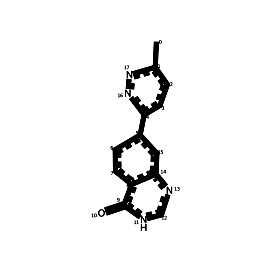 Cc1ccc(-c2ccc3c(=O)[nH]cnc3c2)nn1